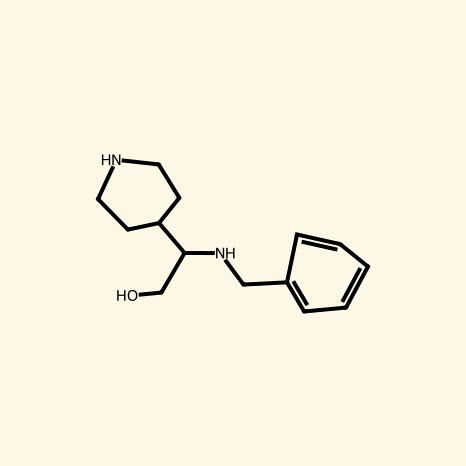 OCC(NCc1ccccc1)C1CCNCC1